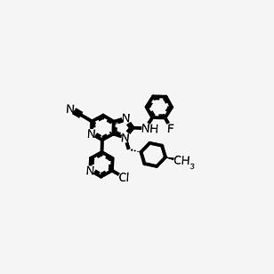 C[C@H]1CC[C@H](Cn2c(Nc3ccccc3F)nc3cc(C#N)nc(-c4cncc(Cl)c4)c32)CC1